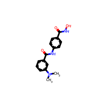 CN(C)c1cccc(C(=O)Nc2ccc(C(=O)NO)cc2)c1